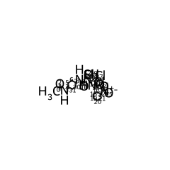 CC(=O)Nc1ccc(NC(=O)N(S)C(NC(=O)c2ccccc2[N+](=O)[O-])C(Cl)(Cl)Cl)cc1